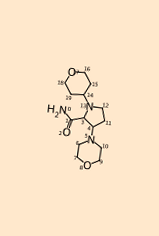 NC(=O)C1C(N2CCOCC2)CCN1C1CCOCC1